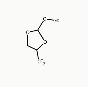 CCOC1OCC(C(F)(F)F)O1